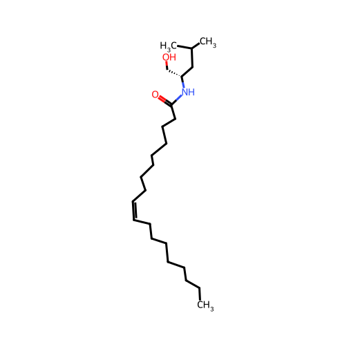 CCCCCCCC/C=C\CCCCCCCC(=O)N[C@H](CO)CC(C)C